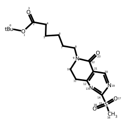 CC(C)(C)OC(=O)CCCCCN1CCc2nc(S(C)(=O)=O)ncc2C1=O